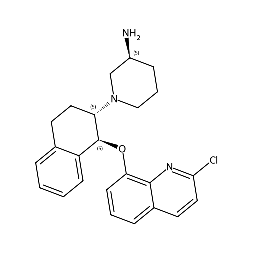 N[C@H]1CCCN([C@H]2CCc3ccccc3[C@@H]2Oc2cccc3ccc(Cl)nc23)C1